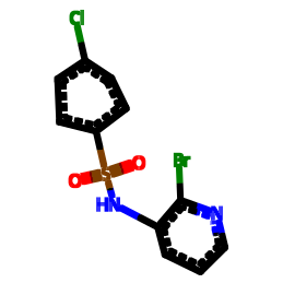 O=S(=O)(Nc1cccnc1Br)c1ccc(Cl)cc1